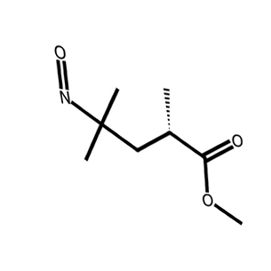 COC(=O)[C@@H](C)CC(C)(C)N=O